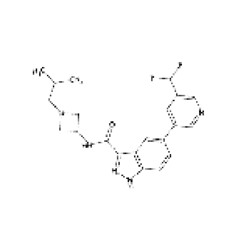 CC(C)CN1CC(NC(=O)c2n[nH]c3ccc(-c4cncc(C(F)F)c4)cc23)C1